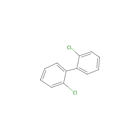 Clc1ccccc1-c1ccccc1Cl